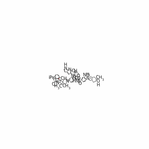 CC(C)c1ccccc1[C@H]1COCCN1C1C(C)(C)C2(CCN(c3ccc(C(=O)NS(=O)(=O)c4ccc(NCC5CCC(C)(O)CC5)c([N+](=O)[O-])c4)c(N4c5cc6cc[nH]c6nc5O[C@@H]5CCOC[C@H]54)c3)CC2)C1(C)C